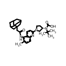 Cc1ccc2nc(N3CC[C@H](N(C(=O)O)C(C)(C)C)C3)ccc2c1NC(=O)CC12CC3CC(CC(C3)C1)C2